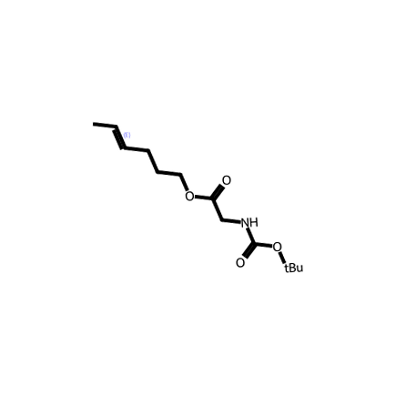 C/C=C/CCCOC(=O)CNC(=O)OC(C)(C)C